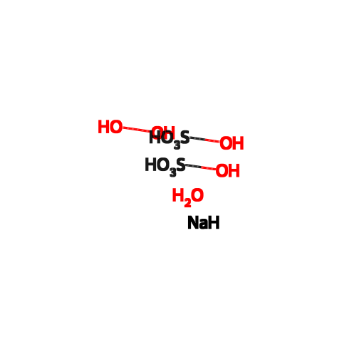 O.O=S(=O)(O)O.O=S(=O)(O)O.OO.[NaH]